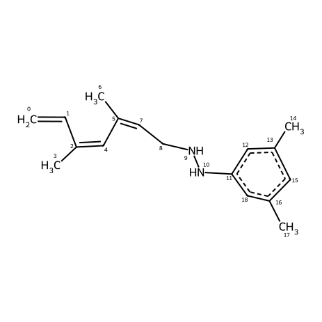 C=C/C(C)=C\C(C)=C/CNNc1cc(C)cc(C)c1